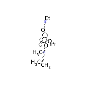 CC/C=C/CCOc1ccc2c(OC(C)C)c(OC/C=C(\C)CCC=C(C)C)c(=O)oc2c1